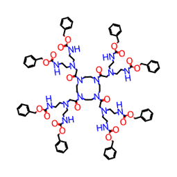 O=C(NCCN(CCNC(=O)OCc1ccccc1)CC(=O)N1CCN(C(=O)CN(CCNC(=O)OCc2ccccc2)CCNC(=O)OCc2ccccc2)CCN(C(=O)CN(CCNC(=O)OCc2ccccc2)CCNC(=O)OCc2ccccc2)CCN(C(=O)CN(CCNC(=O)OCc2ccccc2)CCNC(=O)OCc2ccccc2)CC1)OCc1ccccc1